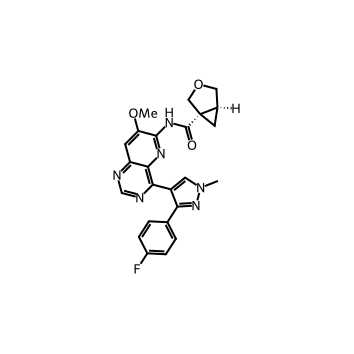 COc1cc2ncnc(-c3cn(C)nc3-c3ccc(F)cc3)c2nc1NC(=O)[C@]12COC[C@H]1C2